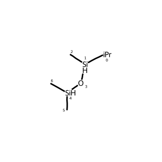 CC(C)[SiH](C)O[SiH](C)C